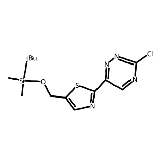 CC(C)(C)[Si](C)(C)OCc1cnc(-c2cnc(Cl)nn2)s1